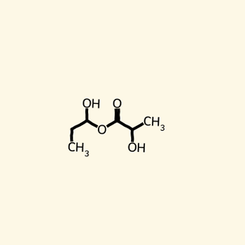 CCC(O)OC(=O)C(C)O